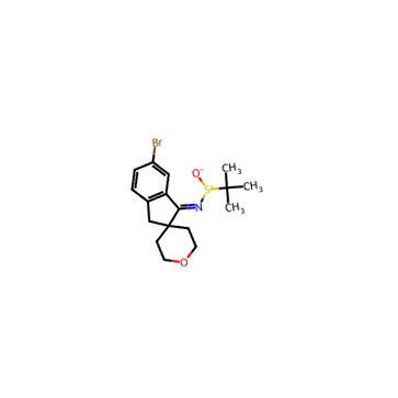 CC(C)(C)[S+]([O-])N=C1c2cc(Br)ccc2CC12CCOCC2